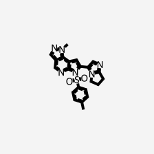 Cc1ccc(S(=O)(=O)n2c(-c3cnc4n3CCC4)cc3c4c(cnc32)cnn4C)cc1